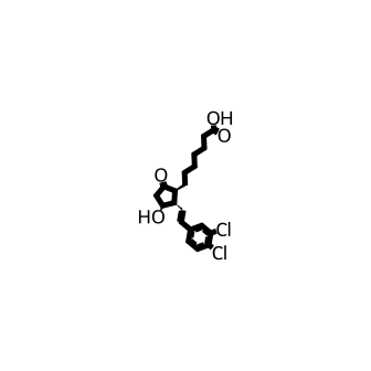 O=C(O)CCCCCC[C@@H]1C(=O)C[C@@H](O)[C@H]1C=Cc1ccc(Cl)c(Cl)c1